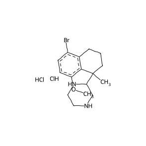 COc1ccc(Br)c2c1C(C)(C1CNCCN1)CCC2.Cl.Cl